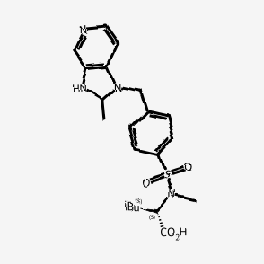 CC[C@H](C)[C@@H](C(=O)O)N(C)S(=O)(=O)c1ccc(CN2c3ccncc3NC2C)cc1